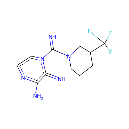 N=C(N1CCCC(C(F)(F)F)C1)n1ccnc(N)c1=N